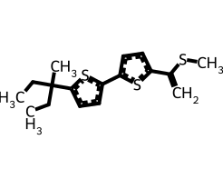 C=C(SC)c1ccc(-c2ccc(C(C)(CC)CC)s2)s1